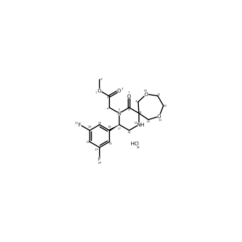 COC(=O)CN1C(=O)C2(COCCOC2)NC[C@H]1c1cc(F)cc(F)c1.Cl